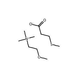 COCC[N+](C)(C)C.CSCCC(=O)[O-]